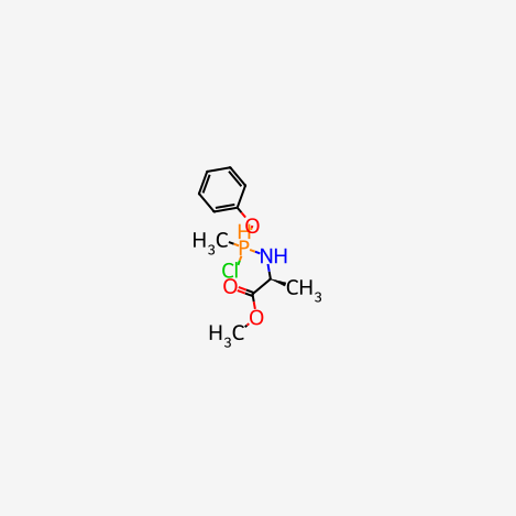 COC(=O)[C@H](C)N[PH](C)(Cl)Oc1ccccc1